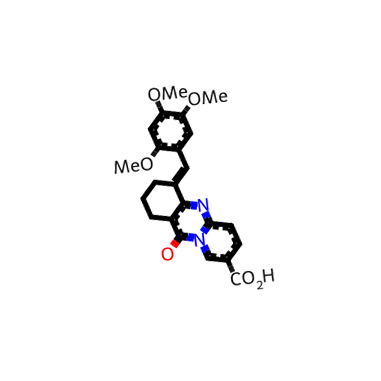 COc1cc(OC)c(OC)cc1C=C1CCCc2c1nc1ccc(C(=O)O)cn1c2=O